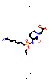 CCOP(=O)(CCCCCCN)N[C@H]1CCCN(CC(=O)O)C1=O